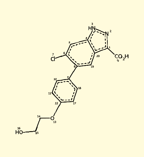 O=C(O)c1n[nH]c2cc(Cl)c(-c3ccc(OCCO)cc3)cc12